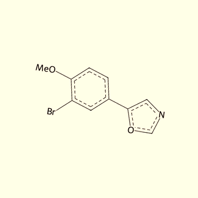 COc1ccc(-c2cnco2)cc1Br